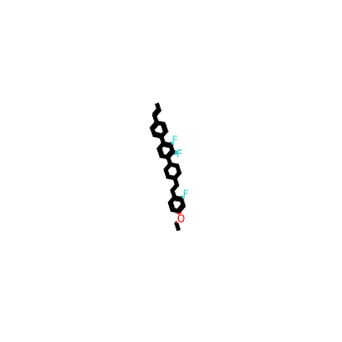 C/C=C/c1ccc(-c2ccc(C3CCC(CCc4ccc(OCC)cc4F)CC3)c(F)c2F)cc1